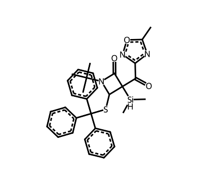 Cc1nc(C(=O)C2([SiH](C)C)C(=O)N(C(C)(C)C)C2SC(c2ccccc2)(c2ccccc2)c2ccccc2)no1